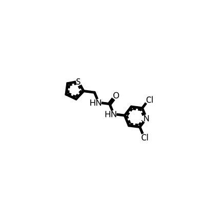 O=C(NCc1cccs1)Nc1cc(Cl)nc(Cl)c1